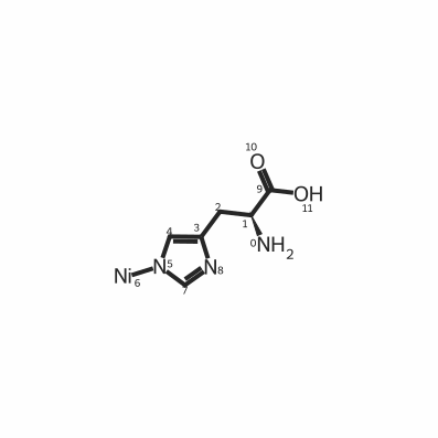 N[C@@H](Cc1c[n]([Ni])cn1)C(=O)O